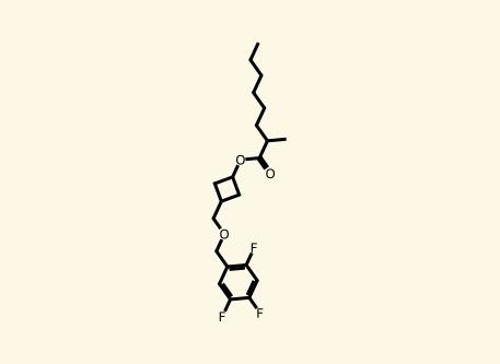 CCCCCCC(C)C(=O)OC1CC(COCc2cc(F)c(F)cc2F)C1